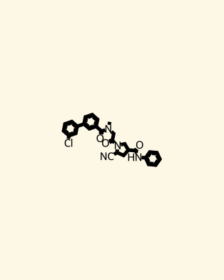 CN(CC(=O)N1CC(C(=O)Nc2ccccc2)CC1C#N)C(=O)c1cccc(-c2cccc(Cl)c2)c1